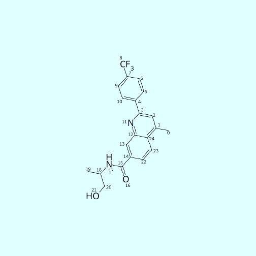 Cc1cc(-c2ccc(C(F)(F)F)cc2)nc2cc(C(=O)NC(C)CO)ccc12